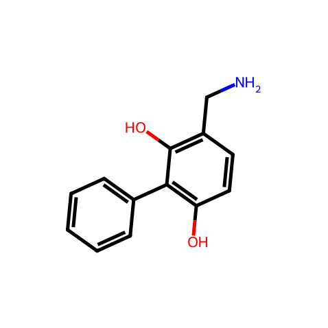 NCc1ccc(O)c(-c2ccccc2)c1O